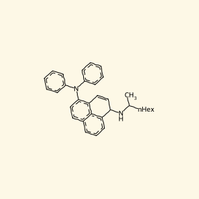 CCCCCCC(C)NC1C=Cc2c(N(c3ccccc3)c3ccccc3)ccc3cccc1c23